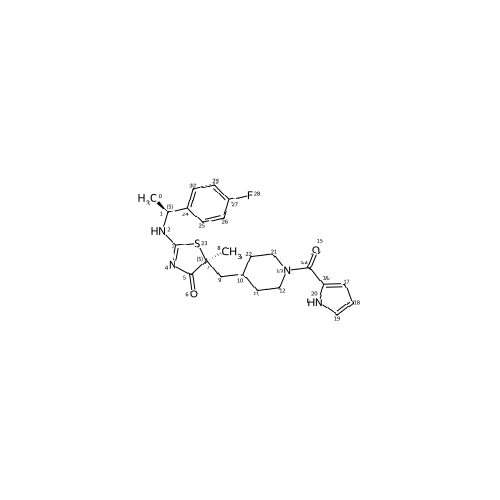 C[C@H](NC1=NC(=O)[C@](C)(CC2CCN(C(=O)c3ccc[nH]3)CC2)S1)c1ccc(F)cc1